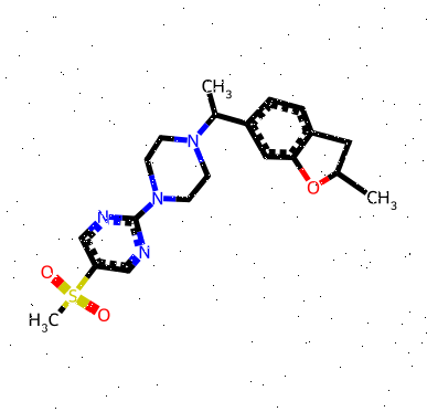 CC1Cc2ccc(C(C)N3CCN(c4ncc(S(C)(=O)=O)cn4)CC3)cc2O1